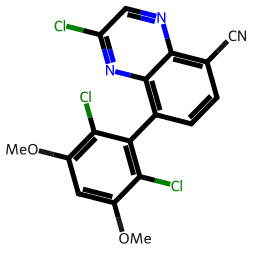 COc1cc(OC)c(Cl)c(-c2ccc(C#N)c3ncc(Cl)nc23)c1Cl